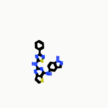 c1ccc(-c2nsc(Nc3nc(Nc4ccc5[nH]ncc5c4)c4sccc4n3)n2)cc1